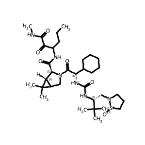 CCCC(NC(=O)[C@@H]1[C@@H]2C(CN1C(=O)[C@@H](NC(=O)N[C@H](CN1CCC[S+]1[O-])C(C)(C)C)C1CCCCC1)C2(C)C)C(=O)C(=O)NC